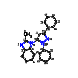 Cc1nc2ccccc2n1-c1cc(-c2ccccc2)nn1-c1ccccc1